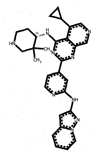 CC1(C)CNCC[C@@H]1Nc1nc(-c2ccnc(Nc3cc4ccccn4n3)c2)nc2cncc(C3CC3)c12